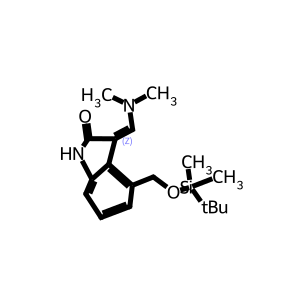 CN(C)/C=C1\C(=O)Nc2cccc(CO[Si](C)(C)C(C)(C)C)c21